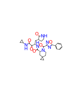 O=C(NC1CC1)C(=O)C(C[C@@H]1CCNC1=O)NC(=O)[C@@H]1CC2(CCN1C(=O)c1noc(-c3ccccc3)n1)CC2